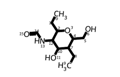 CCC1OC(CO)C(CC)C(O)C1NC=O